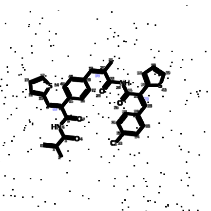 C=C(C)C(=O)NC(=O)/C(=C/c1cccs1)c1ccc(/C=C(/C)C(=O)NC(=O)/C(=C\c2ccc(Cl)cc2)c2cccs2)cc1